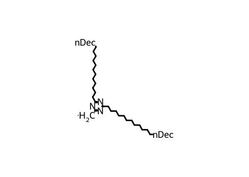 [CH2]c1nc(CCCCCCCCCCCCCCCCCCCCCC)nc(CCCCCCCCCCCCCCCCCCCCCC)n1